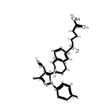 Cc1ccc(-n2nc(C)c(C#N)c2N2CCc3cc([C@@H](C)CCCC(=O)O)ccc3C2)cc1